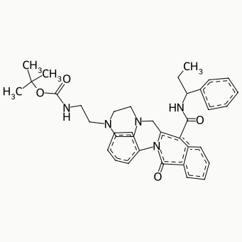 CCC(NC(=O)c1c(CN2CCN(CCNC(=O)OC(C)(C)C)CC2)n(-c2ccccc2)c(=O)c2ccccc12)c1ccccc1